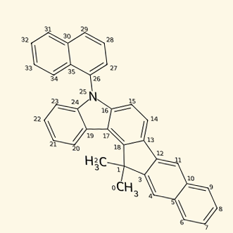 CC1(C)c2cc3ccccc3cc2-c2ccc3c(c21)c1ccccc1n3-c1cccc2ccccc12